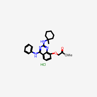 COC(=O)COc1cccc2c(Nc3ccccc3)nc(NC3(C)CCCCC3)nc12.Cl